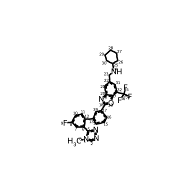 Cn1cnnc1-c1cc(F)ccc1-c1cccc(-c2nc3cc(CNC4CCCCC4)cc(C(F)(F)F)c3o2)c1